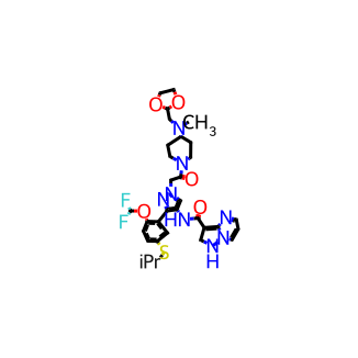 CC(C)Sc1ccc(OC(F)F)c(-c2nn(CC(=O)N3CCC(N(C)CC4OCCO4)CC3)cc2NC(=O)C2=C3N=CC=CN3NC2)c1